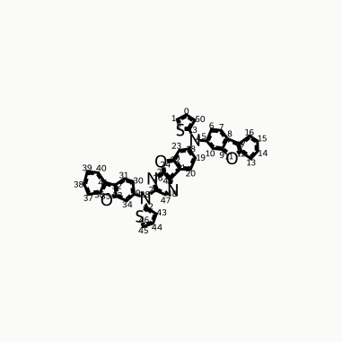 c1csc(N(c2ccc3c(c2)oc2ccccc23)c2ccc3c(c2)oc2nc(N(c4ccc5c(c4)oc4ccccc45)c4cccs4)cnc23)c1